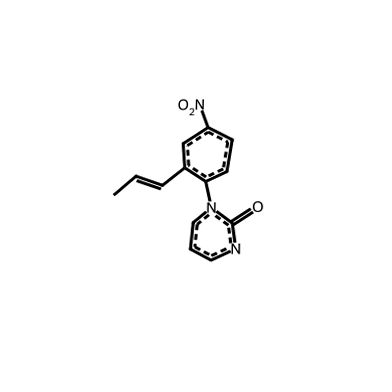 CC=Cc1cc([N+](=O)[O-])ccc1-n1cccnc1=O